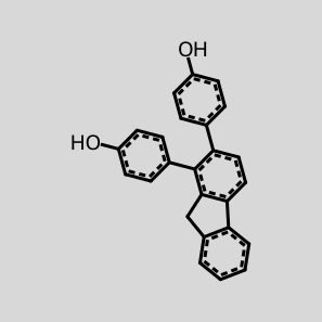 Oc1ccc(-c2ccc3c(c2-c2ccc(O)cc2)Cc2ccccc2-3)cc1